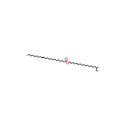 CCCCCCCCC=CCCCCCCCCCCCC(=O)OCCCCCCCCCCCCCCCC(C)CC